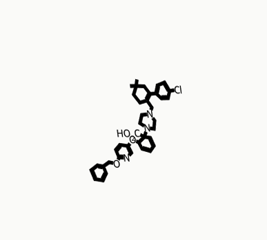 CC1(C)CCC(CN2CCN(C3(C(=O)O)C=CC=CC3Oc3ccc(OCc4ccccc4)nc3)CC2)=C(c2ccc(Cl)cc2)C1